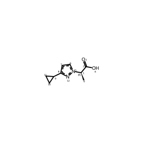 C[C@H](C(=O)O)n1ccc(C2CC2)n1